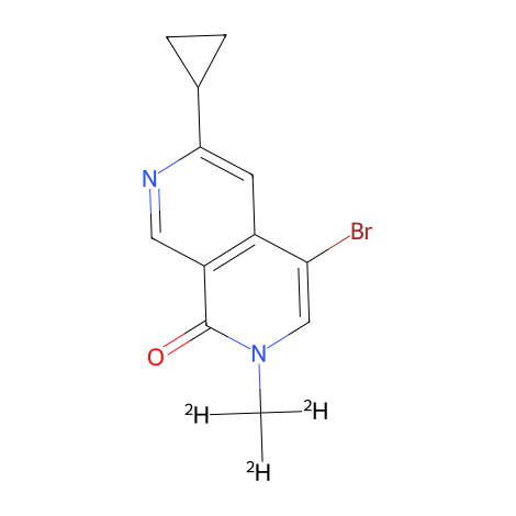 [2H]C([2H])([2H])n1cc(Br)c2cc(C3CC3)ncc2c1=O